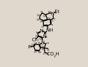 CCN1Cc2cc(Nc3ncc(Cl)c(N4CC(C)(CC(=O)O)c5ccc(F)cc54)n3)cc3c2C(CCC3)C1